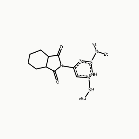 CCCCNn1cc(N2C(=O)C3CCCCC3C2=O)sn(N(CC)CC)[nH]1